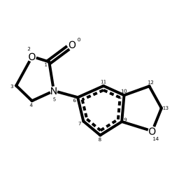 O=C1OCCN1c1ccc2c(c1)CCO2